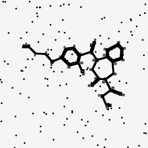 CC(=O)OCCOc1ccc(C(=O)N2CC(=O)N(C(=O)OC(C)(C)C)Cc3ccccc32)c(Cl)c1